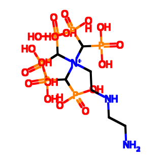 NCCNCC[N+](C(P(=O)(O)O)P(=O)(O)O)(C(P(=O)(O)O)P(=O)(O)O)C(P(=O)(O)O)P(=O)(O)O